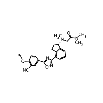 CC(C)Oc1ccc(-c2nc(-c3cccc4c3CC[C@@H]4N(C)CC(=O)N(C)C)no2)cc1C#N